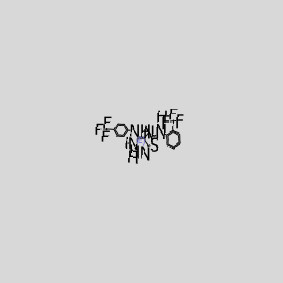 N=C1SC(Nc2ccccc2C(F)(F)F)=N/C1=C(/NI)Nc1ccc(C(F)(F)F)cc1